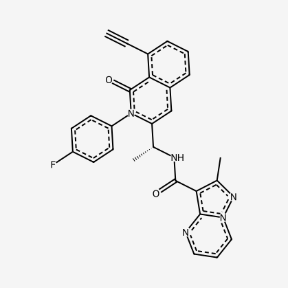 C#Cc1cccc2cc([C@@H](C)NC(=O)c3c(C)nn4cccnc34)n(-c3ccc(F)cc3)c(=O)c12